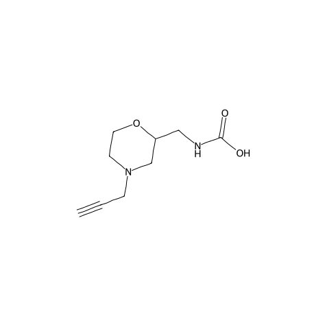 C#CCN1CCOC(CNC(=O)O)C1